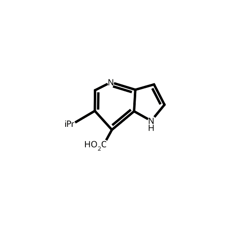 CC(C)c1cnc2cc[nH]c2c1C(=O)O